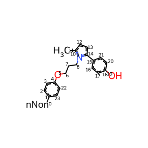 CCCCCCCCCc1ccc(OCCCn2c(C)ccc2-c2ccc(O)cc2)cc1